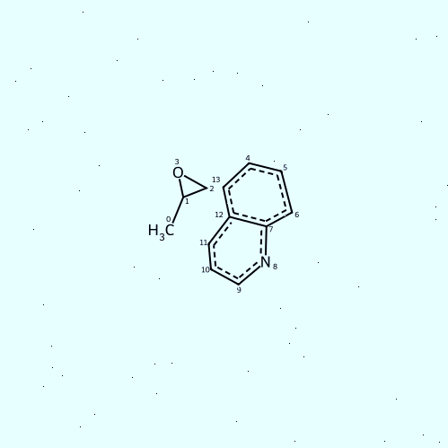 CC1CO1.c1ccc2ncccc2c1